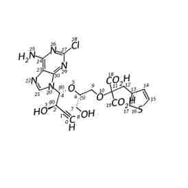 C#C[C@@H](O)[C@@H](O[C@@H](CO)COC(Cc1ccsc1)(C(=O)O)C(=O)O)n1cnc2c(N)nc(Cl)nc21